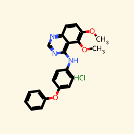 COc1ccc2ncnc(Nc3ccc(Oc4ccccc4)cc3)c2c1OC.Cl